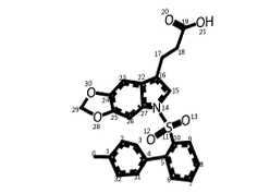 Cc1ccc(-c2ccccc2S(=O)(=O)n2cc(CCC(=O)O)c3cc4c(cc32)OCO4)cc1